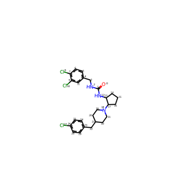 O=C(NCc1ccc(Cl)c(Cl)c1)NC1CCCC1N1CCC(Cc2ccc(Cl)cc2)CC1